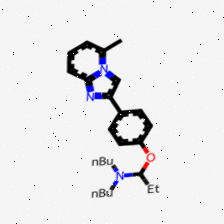 CCCCN(CCCC)C(CC)Oc1ccc(-c2cn3c(C)cccc3n2)cc1